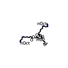 CCCCCCCC/C=C\C/C=C\CCCCC(=O)OC[C@H](COP(=O)(O)OCC[N+](C)(C)C)OC(=O)CCCC/C=C\C/C=C\CCCCCCCC